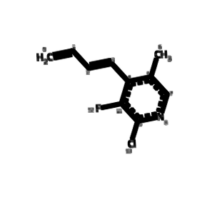 C=C/C=C/c1c(C)cnc(Cl)c1F